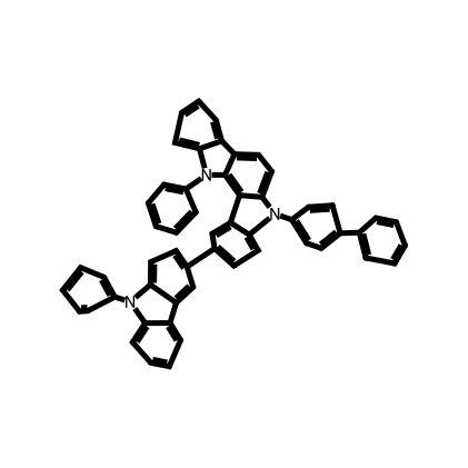 c1ccc(-c2ccc(-n3c4ccc(-c5ccc6c(c5)c5ccccc5n6-c5ccccc5)cc4c4c3ccc3c5ccccc5n(-c5ccccc5)c34)cc2)cc1